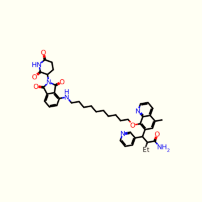 CCC(C(N)=O)C(c1cccnc1)c1cc(C)c2cccnc2c1OCCCCCCCCCCNc1cccc2c1C(=O)N(C1CCC(=O)NC1=O)C2=O